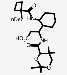 CCCCCCCCCCC1(C(=O)NC2CCCCC2C(CC(=O)O)NC(=O)C2OC(C)(C)OCC2(C)C)CCC1